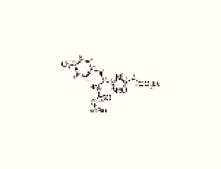 CCOC(=O)Cc1nc([C@H](Cc2ccc(Cl)cc2)NC(=O)OC(C)(C)C)no1